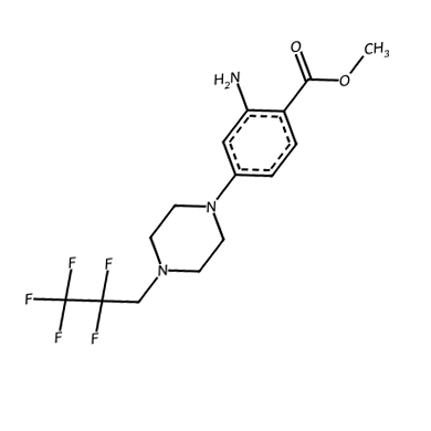 COC(=O)c1ccc(N2CCN(CC(F)(F)C(F)(F)F)CC2)cc1N